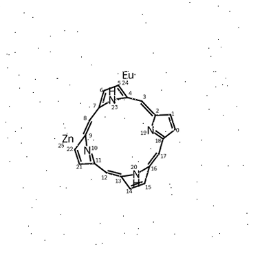 C1=Cc2cc3ccc(cc4nc(cc5ccc(cc1n2)[nH]5)C=C4)[nH]3.[Eu].[Zn]